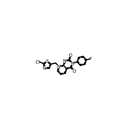 O=c1nc2n(Cc3cnc(Cl)s3)cccc-2c(=O)n1-c1ccc(F)cc1